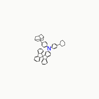 c1ccc2c(c1)-c1ccccc1C21c2ccccc2-c2ccc(N(c3ccc(C4CCCCC4)cc3)c3ccc(C45CC6CC(CC(C6)C4)C5)cc3)cc21